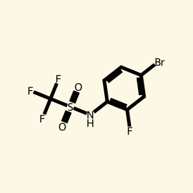 O=S(=O)(Nc1ccc(Br)cc1F)C(F)(F)F